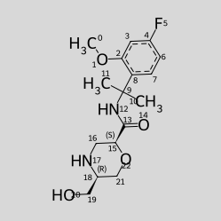 COc1cc(F)ccc1C(C)(C)NC(=O)[C@@H]1CN[C@H](CO)CO1